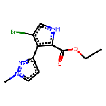 CCOC(=O)c1[nH]cc(Br)c1-c1ccn(C)n1